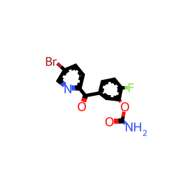 NC(=O)Oc1cc(C(=O)c2ccc(Br)cn2)ccc1F